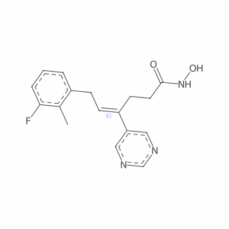 Cc1c(F)cccc1C/C=C(\CCC(=O)NO)c1cncnc1